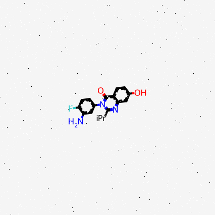 CC(C)c1nc2cc(O)ccc2c(=O)n1-c1ccc(F)c(N)c1